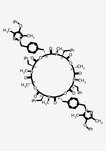 Cc1nn(Cc2ccc(C[C@H]3OC(=O)[C@H](CC(C)C)N(C)C(=O)[C@@H](C)OC(=O)[C@H](CC(C)C)N(C)C(=O)[C@@H](Cc4ccc(Cn5nc(C)c(OC(C)C)c5C)cc4)OC(=O)[C@H](CC(C)C)N(C)C(=O)[C@@H](C)OC(=O)[C@H](CC(C)C)N(C)C3=O)cc2)c(C)c1OC(C)C